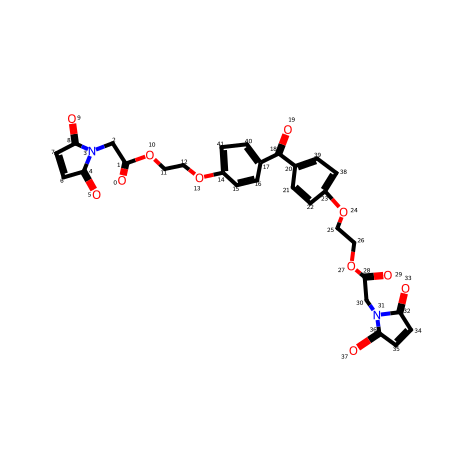 O=C(CN1C(=O)C=CC1=O)OCCOc1ccc(C(=O)c2ccc(OCCOC(=O)CN3C(=O)C=CC3=O)cc2)cc1